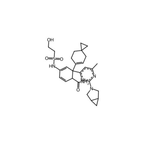 Cc1cc(C2(C3=CCC4(CC3)CC4)C=C(NS(=O)(=O)CCO)C=CC2C(N)=O)nc(N2CC3CC3C2)n1